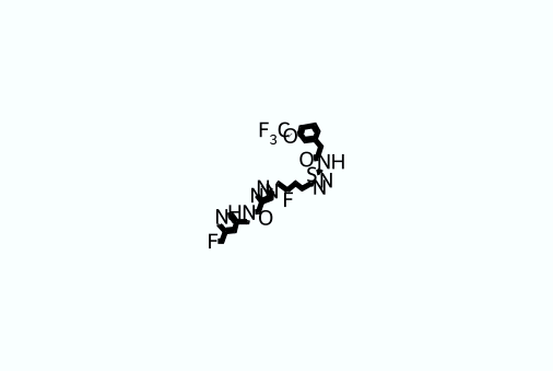 O=C(Cc1cccc(OC(F)(F)F)c1)Nc1nnc(CCC(F)Cn2cc(C(=O)NCc3cncc(CF)c3)nn2)s1